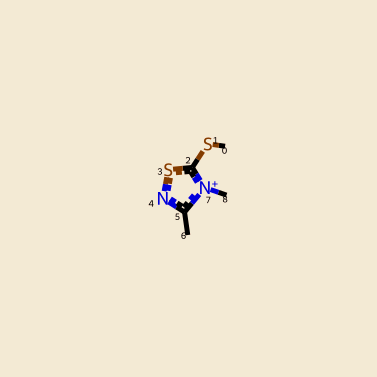 CSc1snc(C)[n+]1C